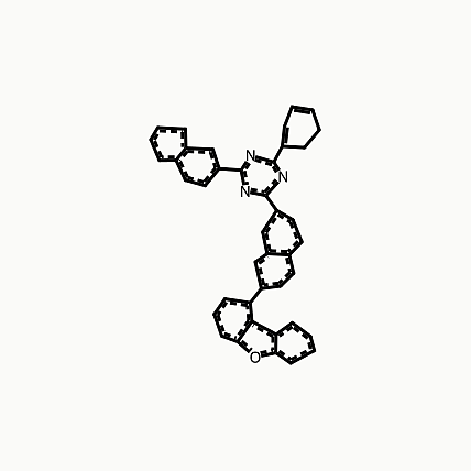 C1=CCCC(c2nc(-c3ccc4ccccc4c3)nc(-c3ccc4ccc(-c5cccc6oc7ccccc7c56)cc4c3)n2)=C1